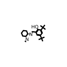 C=N[C@@H]1CCCC[C@H]1/N=C/c1cc(C(C)(C)C)cc(C(C)(C)C)c1O